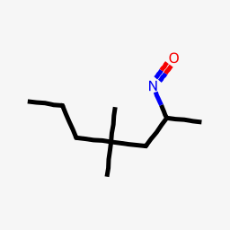 CCCC(C)(C)CC(C)N=O